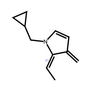 C=c1ccn(CC2CC2)/c1=C/C